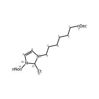 CCCCCCCCCCCCCCCCN1C=CN(CCCCCCCCC)C1CC